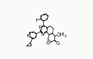 CC1C(=O)C2OC2C2c3nc(-c4ccnc(C5CC5)c4)nc(-c4ccccc4F)c3CCC12